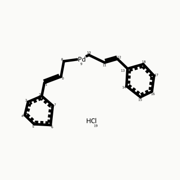 C(=Cc1ccccc1)[CH2][Pd][CH2]C=Cc1ccccc1.Cl